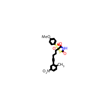 COc1ccc(S(=O)(=O)C2(CCCC#Cc3cc([N+](=O)[O-])ccc3C)SC(=O)NC2=O)cc1